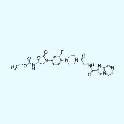 CCOC(=O)NC1CN(c2ccc(N3CCN(C(=O)CNC(=O)c4cn5ccncc5n4)CC3)c(F)c2)C(=O)O1